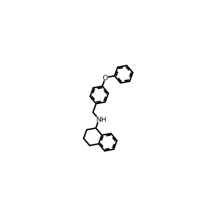 c1ccc(Oc2ccc(CNC3CCCc4ccccc43)cc2)cc1